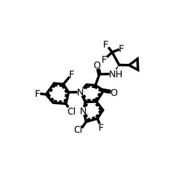 O=C(N[C@@H](C1CC1)C(F)(F)F)c1cn(-c2c(F)cc(F)cc2Cl)c2nc(Cl)c(F)cc2c1=O